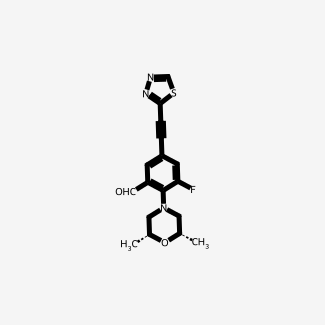 C[C@@H]1CN(c2c(F)cc(C#Cc3nncs3)cc2C=O)C[C@H](C)O1